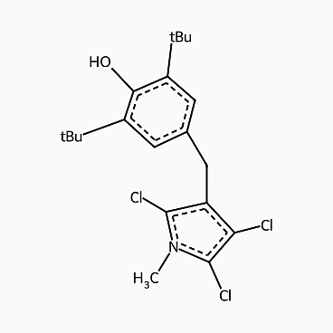 Cn1c(Cl)c(Cl)c(Cc2cc(C(C)(C)C)c(O)c(C(C)(C)C)c2)c1Cl